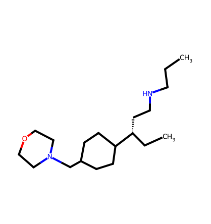 CCCNCC[C@H](CC)C1CCC(CN2CCOCC2)CC1